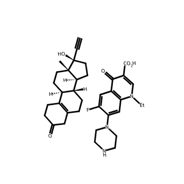 C#C[C@]1(O)CC[C@H]2[C@@H]3CCC4=C(CCC(=O)C4)[C@H]3CC[C@@]21C.CCn1cc(C(=O)O)c(=O)c2cc(F)c(N3CCNCC3)cc21